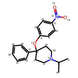 CC(C)N1CCC(Oc2ccc([N+](=O)[O-])cc2)(c2ccccc2)CC1